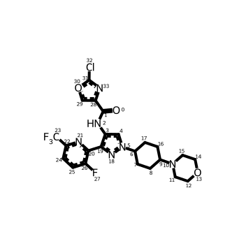 O=C(Nc1cn(C2CCC(N3CCOCC3)CC2)nc1-c1nc(C(F)(F)F)ccc1F)c1coc(Cl)n1